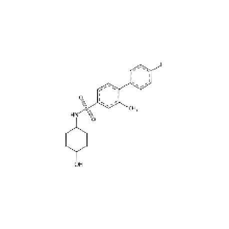 Cc1cc(S(=O)(=O)NC2CCC(O)CC2)ccc1-c1ccc(F)cc1